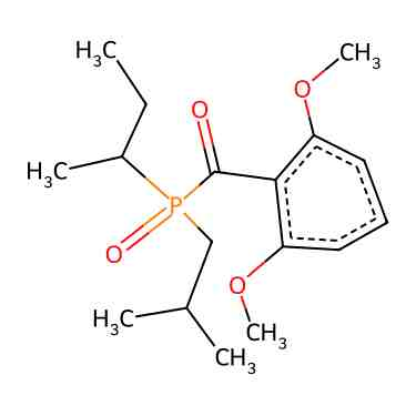 CCC(C)P(=O)(CC(C)C)C(=O)c1c(OC)cccc1OC